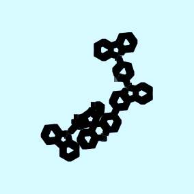 C1=CC2c3cc(-c4ccc5c(c4)C4(c6ccccc6S5)c5cccnc5-c5ncc(-n6c7ccccc7c7ccccc76)cc54)ccc3N(c3ccc(-n4c5ccccc5c5ccccc54)cn3)C2C=C1